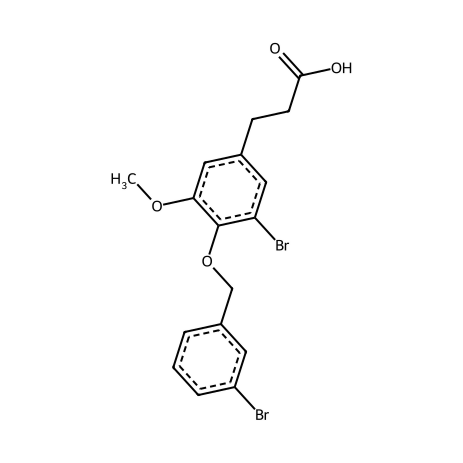 COc1cc(CCC(=O)O)cc(Br)c1OCc1cccc(Br)c1